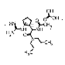 CCCN(CCC)C(=O)C(NC(C)=O)[C@@H]1CCC[C@H]1NC(=N)N.O=C(O)O